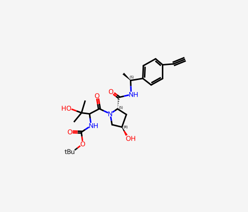 C#Cc1ccc([C@H](C)NC(=O)[C@@H]2C[C@@H](O)CN2C(=O)C(NC(=O)OC(C)(C)C)C(C)(C)O)cc1